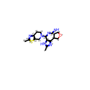 Cc1nc(C2CCOC2)c(/C(=N\C=N)N2CCc3nc(C)sc3C2)[nH]1